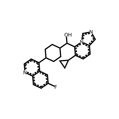 OC(c1c(C2CC2)ccc2cncn12)C1CCC(c2ccnc3ccc(F)cc23)CC1